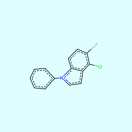 Fc1ccc2c(ccn2-c2ccccc2)c1Cl